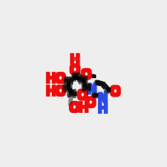 CO[C@@H]1[C@H](O)[C@H](O)[C@H](O)[C@@H](CO)O[C@H]1n1ccc(=O)[nH]c1=O